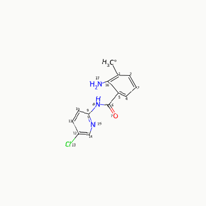 Cc1cccc(C(=O)Nc2ccc(Cl)cn2)c1N